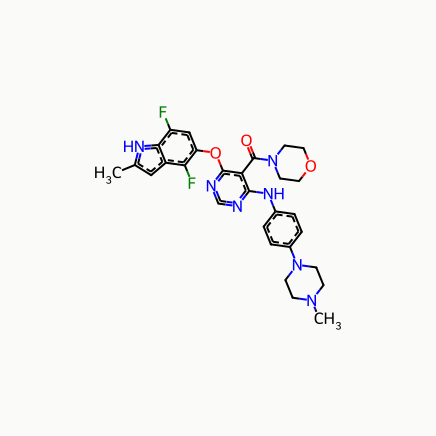 Cc1cc2c(F)c(Oc3ncnc(Nc4ccc(N5CCN(C)CC5)cc4)c3C(=O)N3CCOCC3)cc(F)c2[nH]1